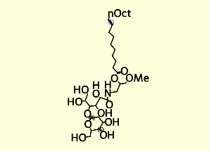 CCCCCCCC/C=C/CCCCCCCC(=O)OC(CNC(=O)C(O)C(O)C(O[C@@H]1CC(O)[C@H](O)C(CO)O1)C(O)CO)COC